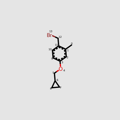 Cc1cc(OCC2CC2)ccc1CBr